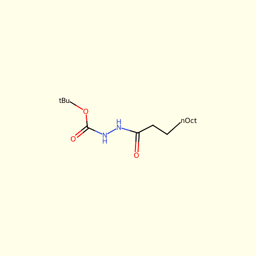 CCCCCCCCCCC(=O)NNC(=O)OC(C)(C)C